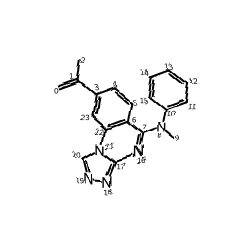 C=C(C)c1ccc2c(N(C)c3ccccc3)nc3nncn3c2c1